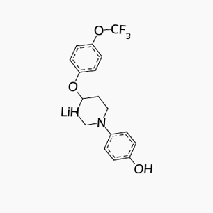 Oc1ccc(N2CCC(Oc3ccc(OC(F)(F)F)cc3)CC2)cc1.[LiH]